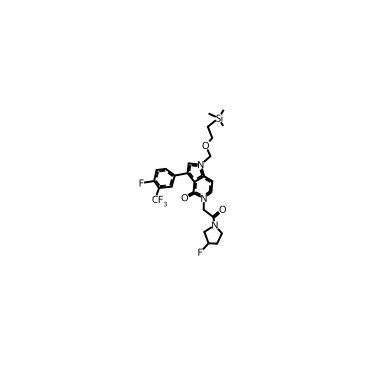 C[Si](C)(C)CCOCn1cc(-c2ccc(F)c(C(F)(F)F)c2)c2c(=O)n(CC(=O)N3CCC(F)C3)ccc21